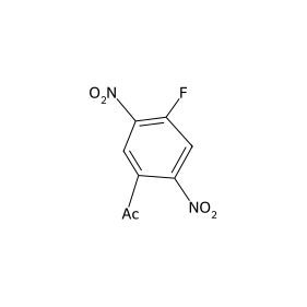 CC(=O)c1cc([N+](=O)[O-])c(F)cc1[N+](=O)[O-]